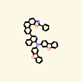 c1ccc(-c2nc3ccc4ccc5ccc(-c6ccc(N(c7ccc8c(c7)oc7ccccc78)c7ccc8oc9ccccc9c8c7)c7ccccc67)cc5c4c3o2)cc1